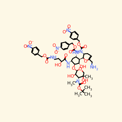 CN(C(=O)OC(C)(C)C)[C@@H]1[C@@H](O)[C@@H](O[C@@H]2[C@@H](O)[C@H](C3OC(CN)=CC[C@H]3NC(=O)OCc3ccc([N+](=O)[O-])cc3)[C@@H](NC(=O)OCc3ccc([N+](=O)[O-])cc3)C[C@H]2NC(=O)[C@@H](O)CCNC(=O)OCc2ccc([N+](=O)[O-])cc2)OC[C@]1(C)O